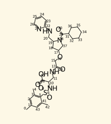 Cc1cc(C)c(S(=O)(=O)NC(CNC(=O)COC2CC(CNc3ccccn3)N(C(=O)C3CCCCC3)C2)C(=O)O)c(C)c1